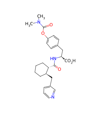 CN(C)C(=O)Oc1ccc(C[C@H](NC(=O)[C@H]2CCCC[C@@H]2Cc2cccnc2)C(=O)O)cc1